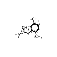 Cc1ccc(C)c(CN(C)C)c1